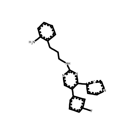 Nc1ccccc1CCCNc1ncc(-c2cccc(F)c2)c(-c2ccncc2)n1